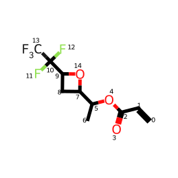 C=CC(=O)OC(C)C1CC(C(F)(F)C(F)(F)F)O1